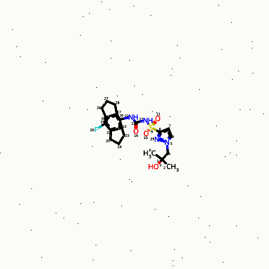 CC(C)(O)Cn1ccc(S(=O)(=O)NC(=O)Nc2c3c(c(F)c4c2CCC4)CCC3)n1